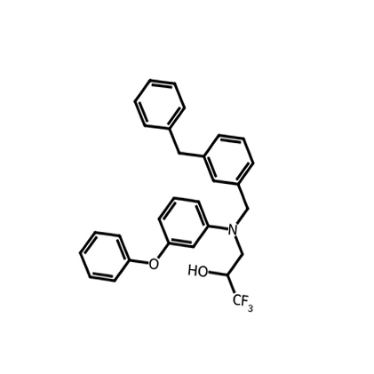 OC(CN(Cc1cccc(Cc2ccccc2)c1)c1cccc(Oc2ccccc2)c1)C(F)(F)F